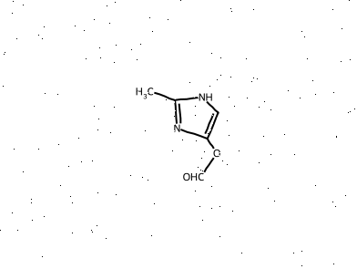 Cc1nc(OC=O)c[nH]1